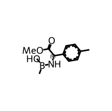 COC(=O)[C@H](NB(C)O)c1ccc(C)cc1